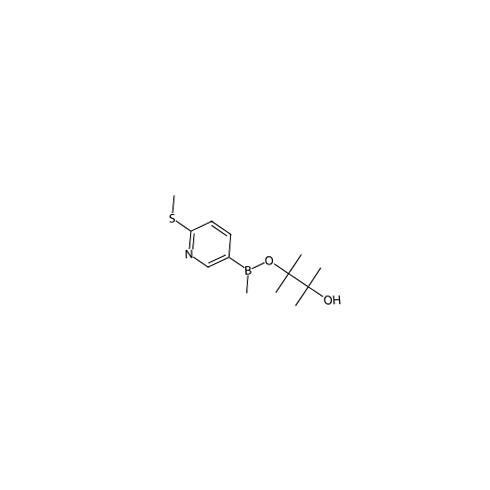 CSc1ccc(B(C)OC(C)(C)C(C)(C)O)cn1